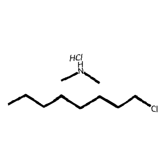 CCCCCCCCCl.CNC.Cl